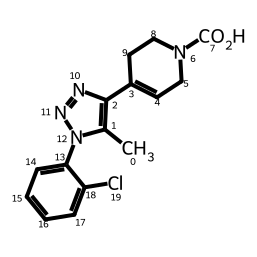 Cc1c(C2=CCN(C(=O)O)CC2)nnn1-c1ccccc1Cl